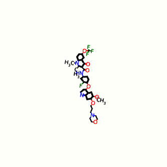 COc1cc2c(Oc3ccc(NC(=O)c4c(C)n(C)c5ccc(OC(F)(F)F)cc5c4=O)cc3F)ccnc2cc1OCCCN1CCOCC1